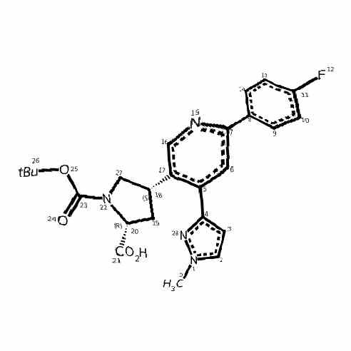 Cn1ccc(-c2cc(-c3ccc(F)cc3)ncc2[C@@H]2C[C@H](C(=O)O)N(C(=O)OC(C)(C)C)C2)n1